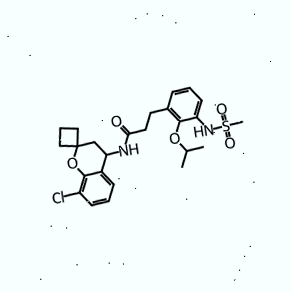 CC(C)Oc1c(CCC(=O)NC2CC3(CCC3)Oc3c(Cl)cccc32)cccc1NS(C)(=O)=O